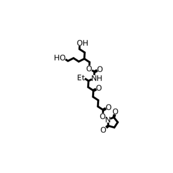 CCC(CC(=O)CCCC(=O)ON1C(=O)CCC1=O)NC(=O)OCC(CCO)CCCO